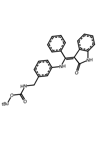 CC(C)(C)OC(=O)NCc1cccc(N/C(=C2\C(=O)Nc3ccccc32)c2ccccc2)c1